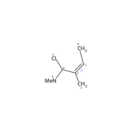 C/C=C(/C)C(Cl)NC